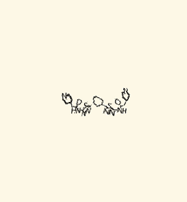 O=C(Cc1ccncc1)Nc1nnc([C@@H]2CCC[C@@H](c3nnc(NC(=O)Cc4ccncc4)s3)C2)s1